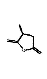 C=C1CC(C)C(=C)O1